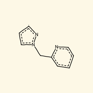 [c]1ccn(Cc2ccccn2)n1